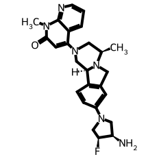 C[C@@H]1CN(c2cc(=O)n(C)c3ncccc23)C[C@@H]2c3ccc(N4C[C@@H](N)[C@@H](F)C4)cc3CN12